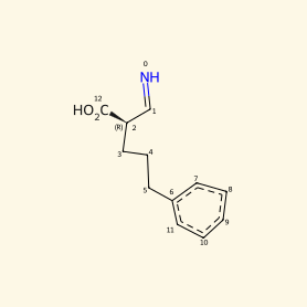 N=C[C@@H](CCCc1ccccc1)C(=O)O